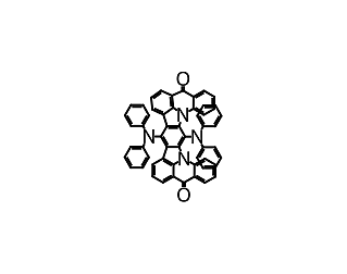 O=c1c2ccccc2n2c3c(N(c4ccccc4)c4ccccc4)c4c(c(N(c5ccccc5)c5ccccc5)c3c3cccc1c32)c1cccc2c(=O)c3ccccc3n4c21